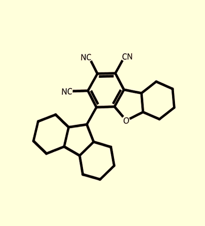 N#Cc1c(C#N)c2c(c(C3C4CCCCC4C4CCCCC43)c1C#N)OC1CCCCC21